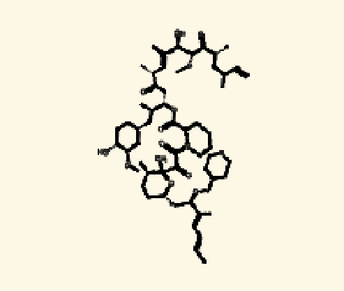 C=CC(C)C[C@@H](C)C(=O)[C@H](OC)[C@H](O)/C(C)=C/[C@@H](C)C(=O)C[C@H](OC(=O)C1CCCCN1C(=O)C(=O)[C@]1(O)O[C@H](CC(OCC2CCOCC2)/C(C)=C/C=C/C)CC[C@H]1C)[C@H](C)C[C@@H]1CC[C@@H](O)[C@H](OC)C1